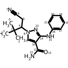 CC(C)(C)C(CC#N)n1cc(C(N)=O)c(Nc2ccccc2)n1